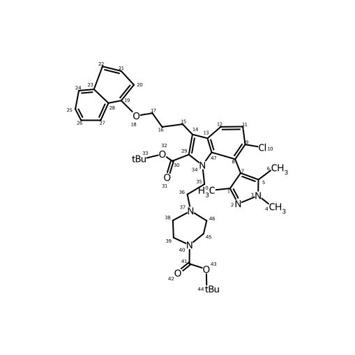 Cc1nn(C)c(C)c1-c1c(Cl)ccc2c(CCCOc3cccc4ccccc34)c(C(=O)OC(C)(C)C)n(CCN3CCN(C(=O)OC(C)(C)C)CC3)c12